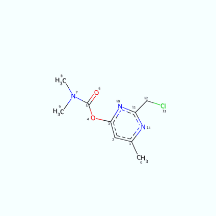 Cc1cc(OC(=O)N(C)C)nc(CCl)n1